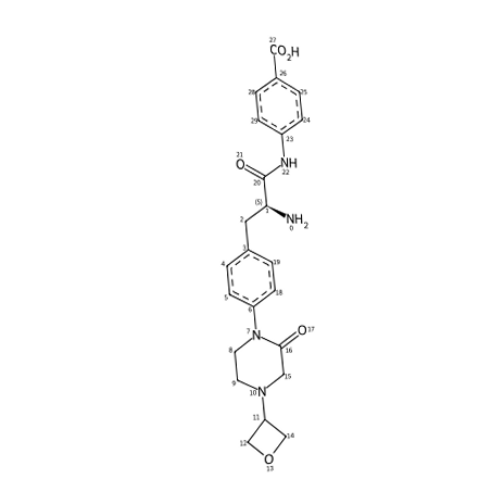 N[C@@H](Cc1ccc(N2CCN(C3COC3)CC2=O)cc1)C(=O)Nc1ccc(C(=O)O)cc1